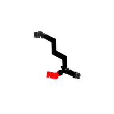 CCCCC[CH2][Ta]([OH])[CH2]C